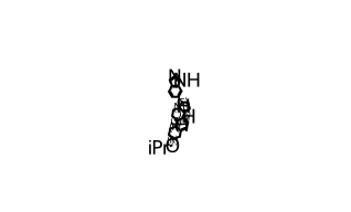 CC(C)O[C@@H]1CC[C@@]2(C)C(=CC[C@H]3[C@@H]4CC[C@H](c5ccc6cn[nH]c6c5)[C@@]4(C)CC[C@@H]32)C1